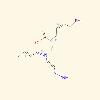 C=C(OC(/C=C/C)=N/C=C/NN)/C(F)=C\C=C/CP